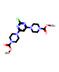 CC(C)(C)OC(=O)N1CCN(c2cc(N3CCN(C(=O)OC(C)(C)C)CC3)nc(Cl)n2)CC1